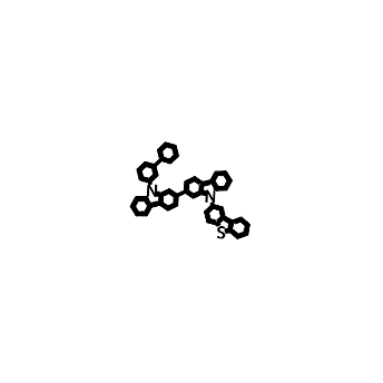 c1ccc(-c2cccc(-n3c4ccccc4c4ccc(-c5ccc6c7ccccc7n(-c7ccc8sc9ccccc9c8c7)c6c5)cc43)c2)cc1